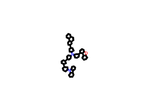 c1cc(-c2ccc(N(c3ccc(-c4ccc5c(ccc6ccccc65)c4)cc3)c3cccc(-c4cccc5oc6ccccc6c45)c3)cc2)cc(-c2cccc(-n3c4ccccc4c4ccccc43)c2)c1